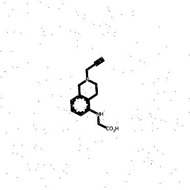 C#CCN1CCc2c(cccc2NCC(=O)O)C1